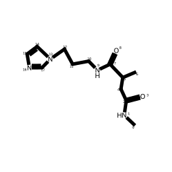 CNC(=O)CC(C)C(=O)NCCCn1ccnc1